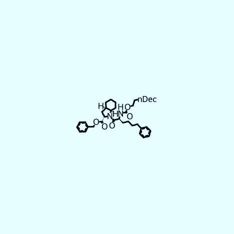 CCCCCCCCCCCCOC(=O)N[C@@H](CCCCc1ccccc1)C(=O)N1[C@@H]2CCCC[C@@H]2C[C@H]1C(=O)OCc1ccccc1